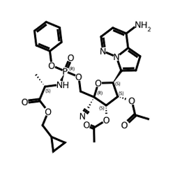 CC(=O)O[C@H]1[C@H](c2ccc3c(N)ccnn23)O[C@](C#N)(CO[P@](=O)(N[C@@H](C)C(=O)OCC2CC2)Oc2ccccc2)[C@H]1OC(C)=O